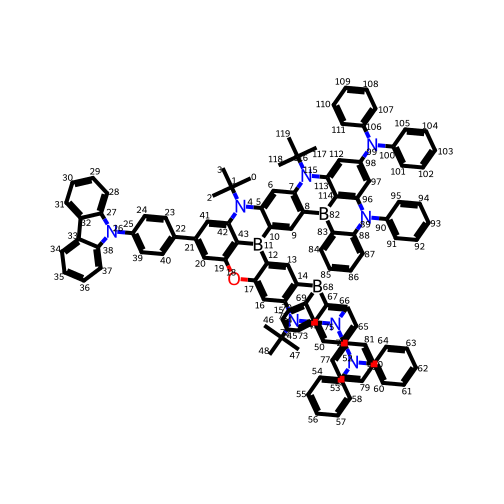 CC(C)(C)N1c2cc3c(cc2B2c4cc5c(cc4Oc4cc(-c6ccc(-n7c8ccccc8c8ccccc87)cc6)cc1c42)N(C(C)(C)C)c1cc(N(c2ccccc2)c2ccccc2)cc2c1B5c1ccccc1N2c1ccccc1)B1c2ccccc2N(c2ccccc2)c2cc(N(c4ccccc4)c4ccccc4)cc(c21)N3C(C)(C)C